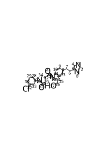 Cn1cncc1CCc1ccc2c(c1)C(C)(CO)CN2C(=O)[C@H]1CC(=O)N(c2cccc(Cl)c2)C1